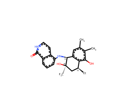 CC[C@H]1C[C@](O)(C(F)(F)F)[C@@H](Nc2cccc3c(=O)[nH]ccc23)c2cc(C)c(C)c(O)c21